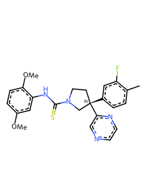 COc1ccc(OC)c(NC(=S)N2CC[C@](c3ccc(C)c(F)c3)(c3cnccn3)C2)c1